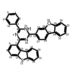 c1ccc(C2=NC(c3cccc4sc5ccccc5c34)=NC(c3ccc4c(c3)oc3ccccc34)N2)cc1